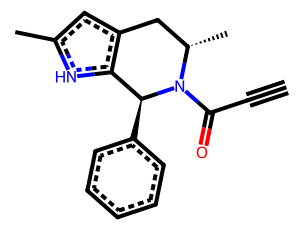 C#CC(=O)N1[C@@H](c2ccccc2)c2[nH]c(C)cc2C[C@@H]1C